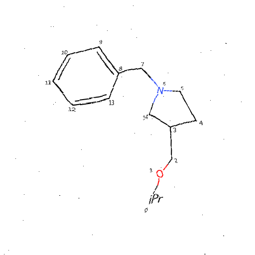 CC(C)OCC1CCN(Cc2ccccc2)C1